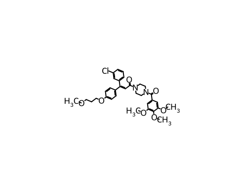 COCCCOc1ccc(C(=CC(=O)N2CCN(C(=O)c3cc(OC)c(OC)c(OC)c3)CC2)c2cccc(Cl)c2)cc1